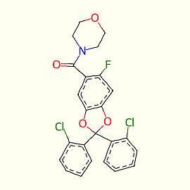 O=C(c1cc2c(cc1F)OC(c1ccccc1Cl)(c1ccccc1Cl)O2)N1CCOCC1